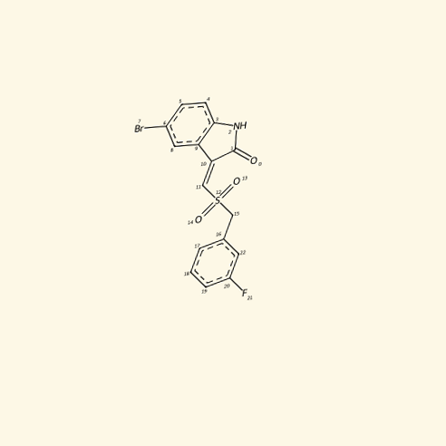 O=C1Nc2ccc(Br)cc2C1=CS(=O)(=O)Cc1cccc(F)c1